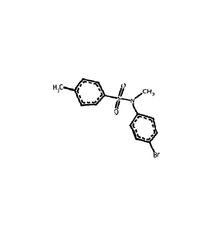 Cc1ccc(S(=O)(=O)N(C)c2ccc(Br)cc2)cc1